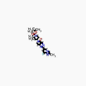 Cc1cn2cc(-c3ncc4c(=O)n([C@H]5CCN(C(=O)OC(C)(C)C)C(C)(C)C5)ccc4n3)cc(F)c2n1